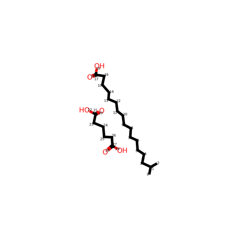 CC(C)CCCCCCCCCCCCCCC(=O)O.O=C(O)CCCCC(=O)O